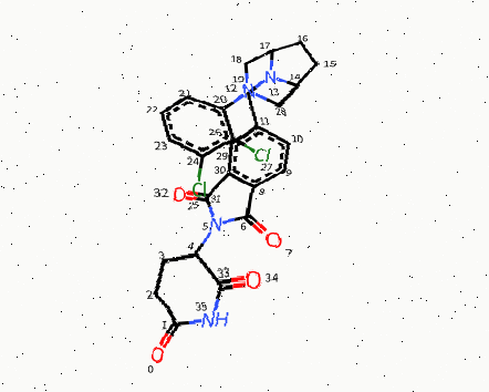 O=C1CCC(N2C(=O)c3ccc(CN4C5CCC4CN(c4cccc(Cl)c4Cl)C5)cc3C2=O)C(=O)N1